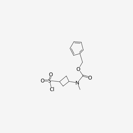 CN(C(=O)OCc1ccccc1)C1CC(S(=O)(=O)Cl)C1